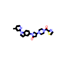 Cc1ccnc(-n2ccc3cc(N4CC(N5CCN(C(=O)c6nccs6)CC5)CC4=O)ccc32)c1